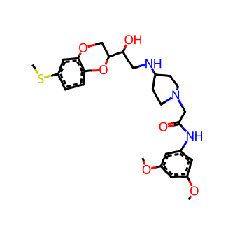 COc1cc(NC(=O)CN2CCC(NCC(O)C3COc4cc(SC)ccc4O3)CC2)cc(OC)c1